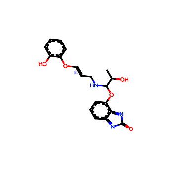 CC(O)C(NC/C=C/Oc1ccccc1O)Oc1cccc2c1=NC(=O)N=2